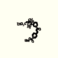 CCOC(=O)CC(C)(C)NC(=O)[C@@H]1CCCN(C(=O)/C=C/C2CCN(C(=O)OC(C)(C)C)CC2)C1